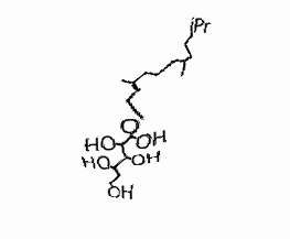 CC(=CCCOC(O)C(O)C(O)C(O)CCO)CCCC(C)CCCC(C)C